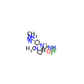 CN1c2ccccc2[C@H]2C[C@@H](NC(=O)C(F)(F)F)CCN2c2ccc(-c3nnn(C)n3)cc21